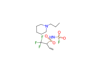 C=CC(C(F)(F)F)S(=O)(=O)NS(=O)(=O)F.CCCN1CCCCC1